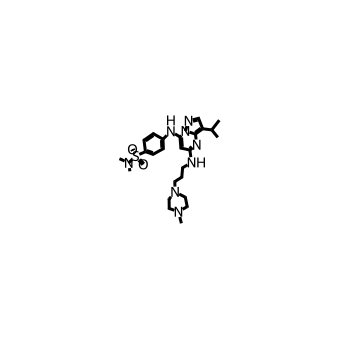 CC(C)c1cnn2c(Nc3ccc(S(=O)(=O)N(C)C)cc3)cc(NCCCN3CCN(C)CC3)nc12